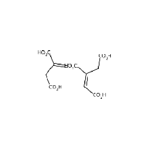 C=C(CC(=O)O)C(=O)O.O=C(O)C=C(CC(=O)O)C(=O)O